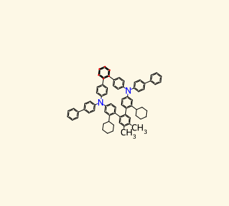 Cc1cc(-c2ccc(N(c3ccc(-c4ccccc4)cc3)c3ccc(-c4ccccc4)cc3)cc2C2CCCCC2)c(-c2ccc(N(c3ccc(-c4ccccc4)cc3)c3ccc(-c4ccccc4)cc3)cc2C2CCCCC2)cc1C